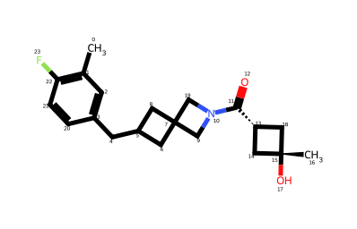 Cc1cc(CC2CC3(C2)CN(C(=O)[C@H]2C[C@@](C)(O)C2)C3)ccc1F